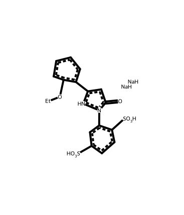 CCOc1ccccc1-c1cc(=O)n(-c2cc(S(=O)(=O)O)ccc2S(=O)(=O)O)[nH]1.[NaH].[NaH]